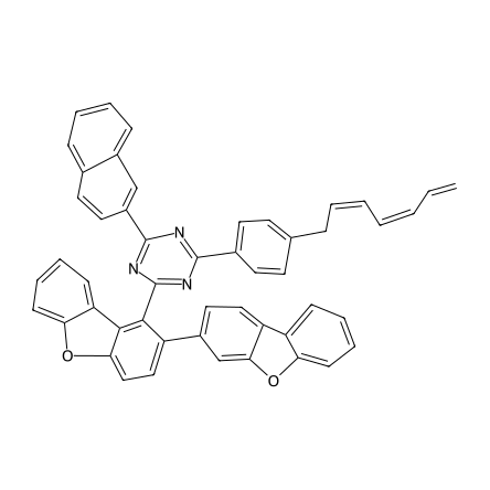 C=C/C=C\C=C/Cc1ccc(-c2nc(-c3ccc4ccccc4c3)nc(-c3c(-c4ccc5c(c4)oc4ccccc45)ccc4oc5ccccc5c34)n2)cc1